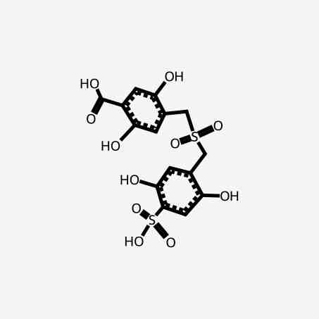 O=C(O)c1cc(O)c(CS(=O)(=O)Cc2cc(O)c(S(=O)(=O)O)cc2O)cc1O